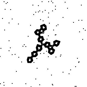 C1=CC(c2ccc(-c3ccc(N(c4ccc(-c5cccc6c5oc5ccccc56)cc4)c4ccc5c(c4)c4ccccc4n5-c4ccccc4)cc3)cc2)=CCC1